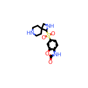 O=c1[nH]c2ccc(S(=O)(=O)C3NCC34CCNCC4)cc2o1